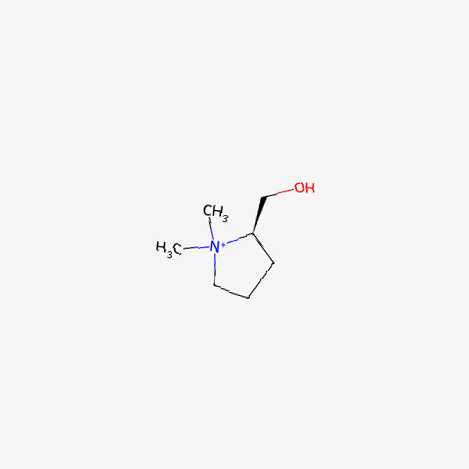 C[N+]1(C)CCC[C@@H]1CO